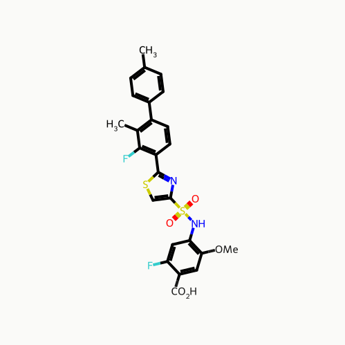 COc1cc(C(=O)O)c(F)cc1NS(=O)(=O)c1csc(-c2ccc(-c3ccc(C)cc3)c(C)c2F)n1